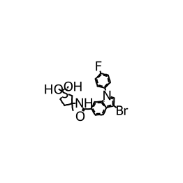 CC1(NC(=O)c2ccc3c(Br)cn(-c4ccc(F)cc4)c3c2)CCS(O)(O)C1